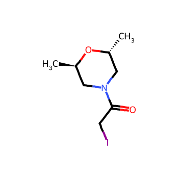 C[C@@H]1CN(C(=O)CI)C[C@@H](C)O1